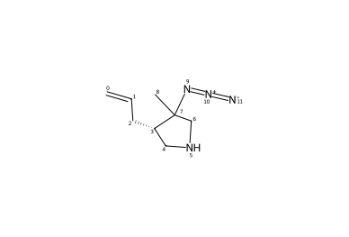 C=CC[C@H]1CNCC1(C)N=[N+]=[N-]